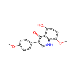 COc1ccc(-c2c[nH]c3c(OC)ccc(O)c3c2=O)cc1